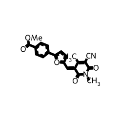 COC(=O)c1ccc(-c2ccc(/C=C3/C(=O)N(C)C(=O)C(C#N)=C3C)o2)cc1